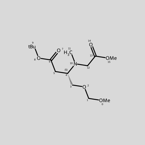 COCOC[C@H](CC(=O)OC(C)(C)C)N(C)CC(=O)OC